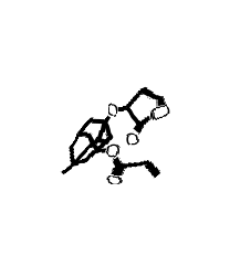 C=CC(=O)OC12CC3CC(C)(C1)C(C)C(OC1CCOC1=O)(C3)C2